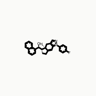 C[C@]12Cc3cnn(-c4ccc(F)cc4)c3C=C1CC[C@@H]2[C@H](O)c1cccc2ccccc12